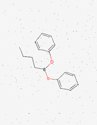 CCCCB(Oc1ccccc1)Oc1ccccc1